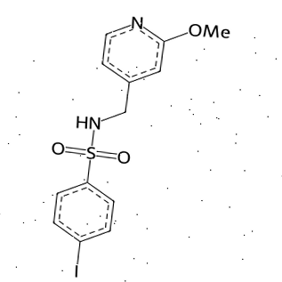 COc1cc(CNS(=O)(=O)c2ccc(I)cc2)ccn1